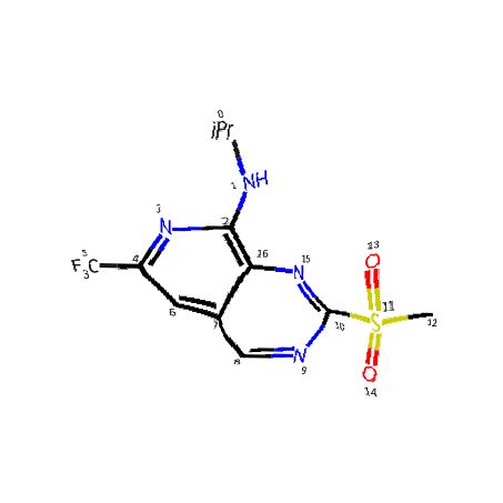 CC(C)Nc1nc(C(F)(F)F)cc2cnc(S(C)(=O)=O)nc12